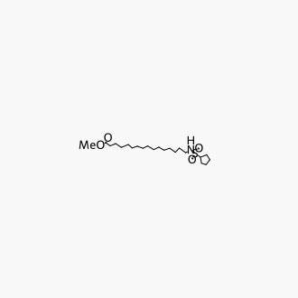 COC(=O)CCCCCCCCCCCCCCCNS(=O)(=O)C1CCCC1